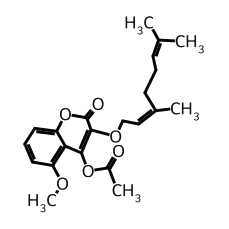 COc1cccc2oc(=O)c(OCC=C(C)CCC=C(C)C)c(OC(C)=O)c12